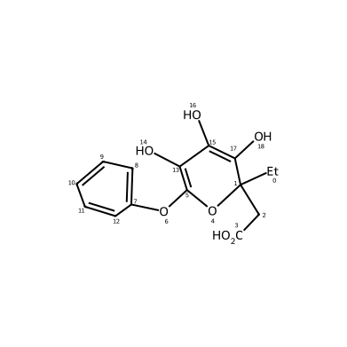 CCC1(CC(=O)O)OC(Oc2ccccc2)=C(O)C(O)=C1O